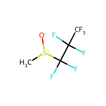 C[S+]([O-])C(F)(F)C(F)(F)C(F)(F)F